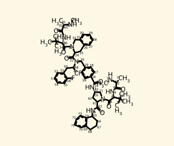 CN[C@@H](C)C(=O)N[C@H](C(=O)N1C[C@@H](NC(=O)c2ccc(CN(C(=O)C3Cc4ccccc4CN3C(=O)[C@@H](NC(=O)[C@H](C)NC)C(C)(C)C)C(C)Cc3ccccc3F)cc2)CC1C(=O)NC1CCCc2ccccc21)C(C)(C)C